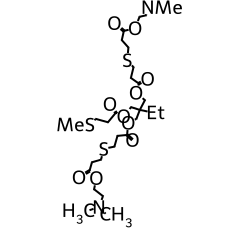 CCC(COC(=O)CCSC)(COC(=O)CCSCCC(=O)OCCNC)COC(=O)CCSCCC(=O)OCCN(C)C